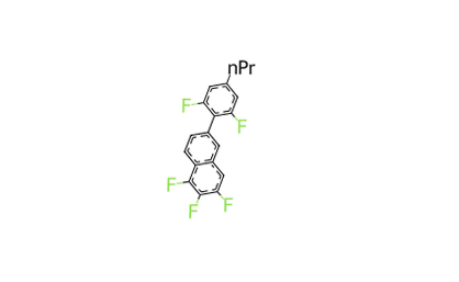 CCCc1cc(F)c(-c2ccc3c(F)c(F)c(F)cc3c2)c(F)c1